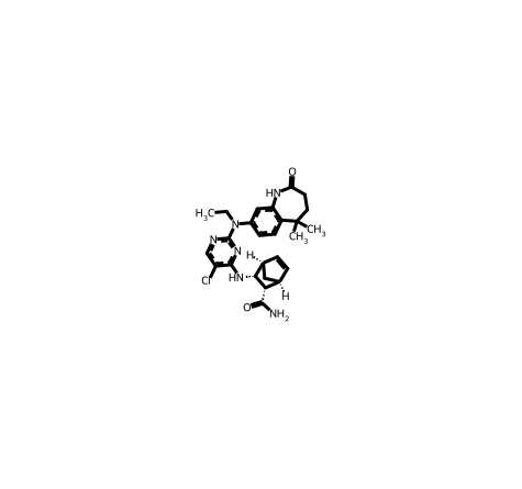 CCN(c1ccc2c(c1)NC(=O)CCC2(C)C)c1ncc(Cl)c(N[C@H]2[C@@H](C(N)=O)[C@@H]3C=C[C@H]2C3)n1